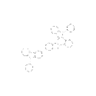 c1ccc(-n2c3ccccc3c3cc(-c4ccc5c(c4)cc4c6ccccc6c6c(c7ccccc7n6-c6ccccc6)n54)ccc32)cc1